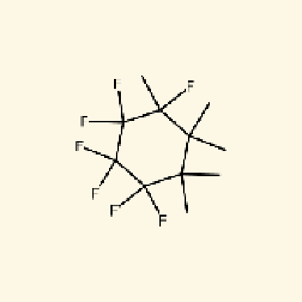 CC1(C)C(C)(C)C(F)(F)C(F)(F)C(F)(F)C1(C)F